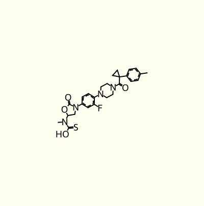 Cc1ccc(C2(C(=O)N3CCN(c4ccc(N5CC(N(C)C(O)=S)OC5=O)cc4F)CC3)CC2)cc1